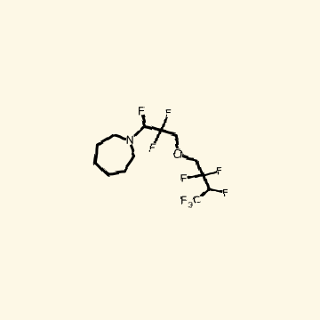 FC(N1CCCCCC1)C(F)(F)COCC(F)(F)C(F)C(F)(F)F